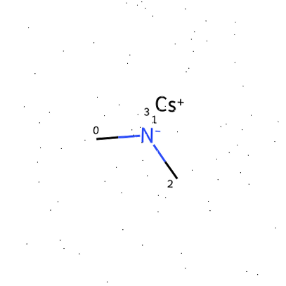 C[N-]C.[Cs+]